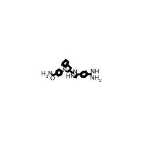 N=C(N)c1ccc(-c2c[nH]c(C(CNc3ccc(C(N)=O)cc3)Cc3ccccc3)n2)cc1